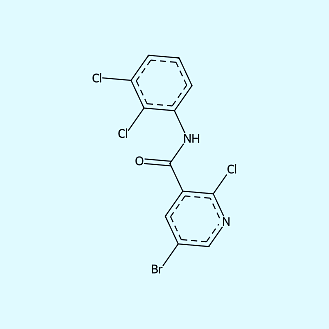 O=C(Nc1cccc(Cl)c1Cl)c1cc(Br)cnc1Cl